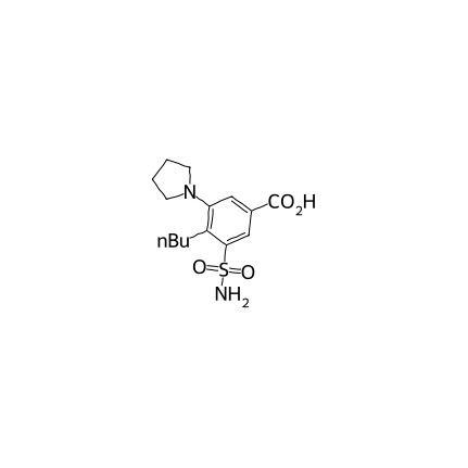 CCCCc1c(N2CCCC2)cc(C(=O)O)cc1S(N)(=O)=O